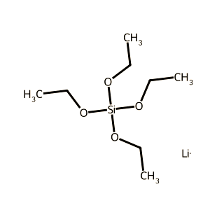 CCO[Si](OCC)(OCC)OCC.[Li]